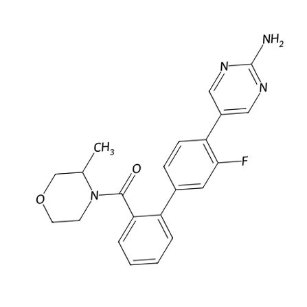 CC1COCCN1C(=O)c1ccccc1-c1ccc(-c2cnc(N)nc2)c(F)c1